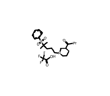 CC(C)C(=O)C1CCCN(CCCC(C)(C)S(=O)(=O)c2ccccc2)C1.O=C(O)C(F)(F)F